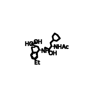 CCc1ccc2c(c1)[C@@H](NC[C@@H](O)[C@H](CC1CCCCC1)NC(C)=O)CS(O)(O)C2